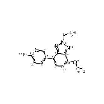 CCn1nc2c(-c3ccc(F)cc3)cnc(OC)c2n1